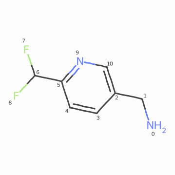 NCc1ccc(C(F)F)nc1